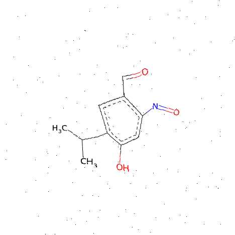 CC(C)c1cc(C=O)c(N=O)cc1O